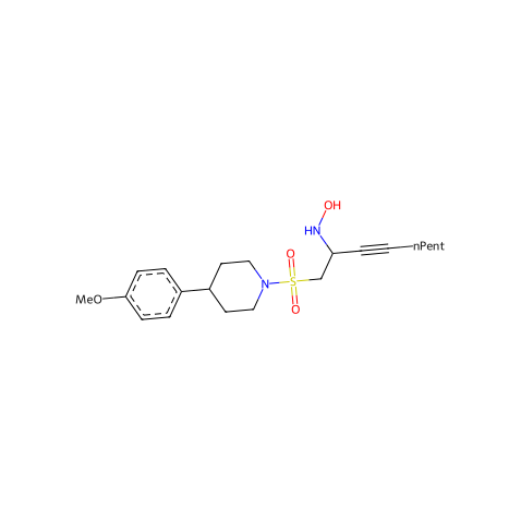 CCCCCC#CC(CS(=O)(=O)N1CCC(c2ccc(OC)cc2)CC1)NO